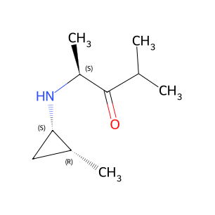 CC(C)C(=O)[C@H](C)N[C@H]1C[C@H]1C